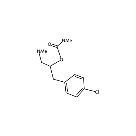 CNCC(Cc1ccc(Cl)cc1)OC(=O)NC